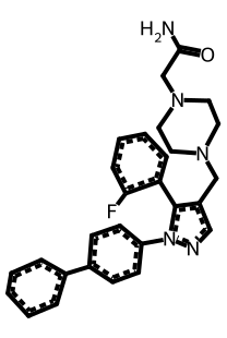 NC(=O)CN1CCN(Cc2cnn(-c3ccc(-c4ccccc4)cc3)c2-c2ccccc2F)CC1